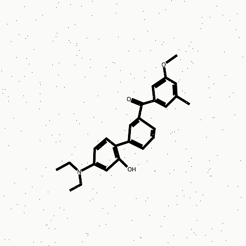 CCN(CC)c1ccc(-c2cccc(C(=O)c3cc(C)cc(OC)c3)c2)c(O)c1